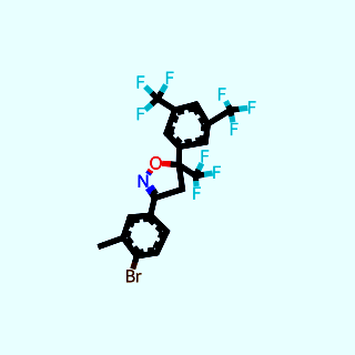 Cc1cc(C2=NOC(c3cc(C(F)(F)F)cc(C(F)(F)F)c3)(C(F)(F)F)C2)ccc1Br